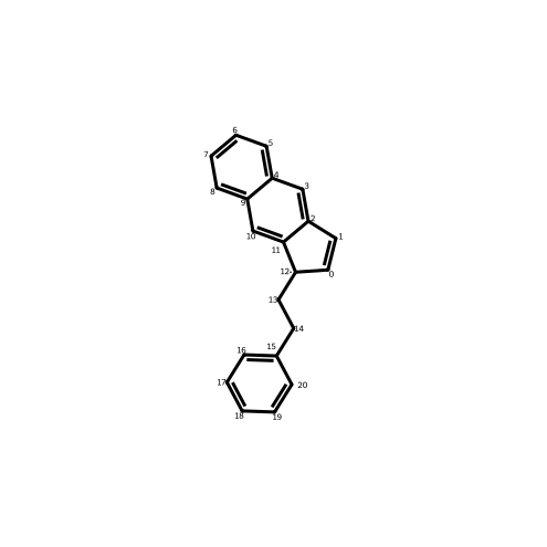 C1=Cc2cc3ccccc3cc2[C]1CCc1ccccc1